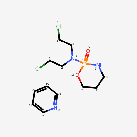 O=P1(N(CCCl)CCCl)NCCCO1.c1ccncc1